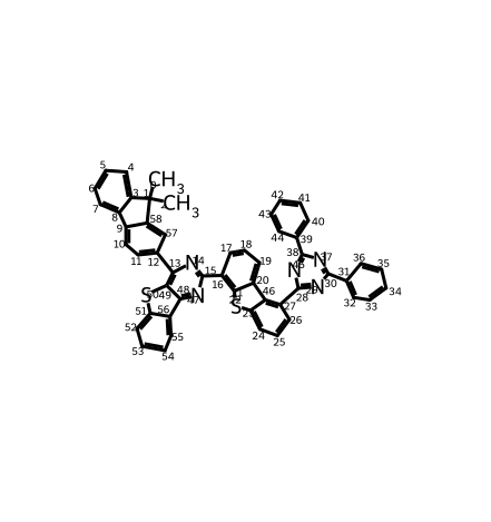 CC1(C)c2ccccc2-c2ccc(-c3nc(-c4cccc5c4sc4cccc(-c6nc(-c7ccccc7)nc(-c7ccccc7)n6)c45)nc4c3sc3ccccc34)cc21